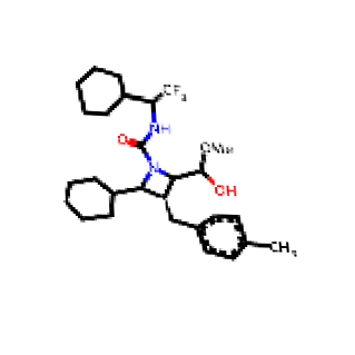 COC(O)C1[C@@H](Cc2ccc(C)cc2)C(C2CCCCC2)N1C(=O)NC(C1CCCCC1)C(F)(F)F